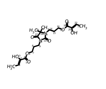 CC=C(O)C(=O)OCCCN1C(=O)N(CCCOC(=O)C(O)=CC)C(C)(C)C1=O